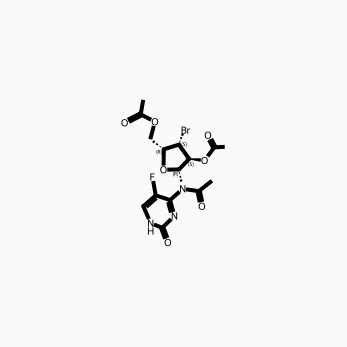 CC(=O)OC[C@H]1O[C@@H](N(C(C)=O)c2nc(=O)[nH]cc2F)[C@H](OC(C)=O)[C@H]1Br